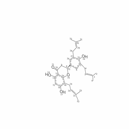 CC(C)=CCc1cc([C@@H]2CC(=O)c3c(O)cc(O)c(CC=C(C)C)c3O2)cc(CC=C(C)C)c1O